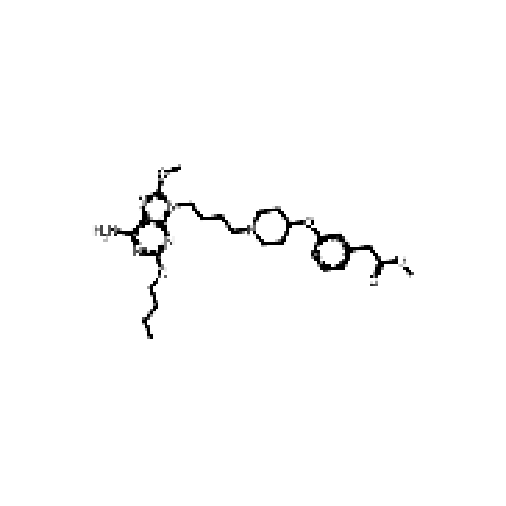 CCCCOc1nc(N)c2nc(OC)n(CCCCN3CCC(Oc4cccc(CC(=O)OC)c4)CC3)c2n1